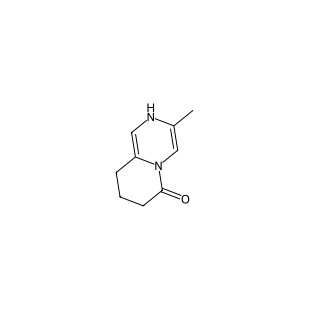 CC1=CN2C(=O)CCCC2=CN1